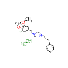 COc1cc(CCN2CCN(CCCc3ccccc3)CC2)cc(F)c1OC.Cl.Cl